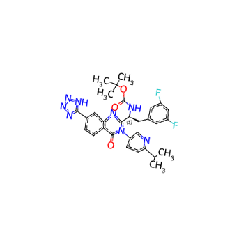 CC(C)c1ccc(-n2c([C@H](Cc3cc(F)cc(F)c3)NC(=O)OC(C)(C)C)nc3cc(-c4nnn[nH]4)ccc3c2=O)cn1